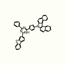 c1ccc(C2=NC(c3ccc4c(c3)sc3ccccc34)NC(c3ccc(-n4c5ccc6ccccc6c5c5c6ccccc6ccc54)cc3)=N2)cc1